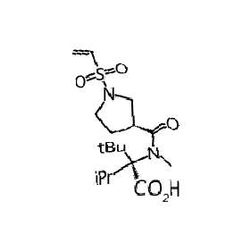 C=CS(=O)(=O)N1CC[C@H](C(=O)N(C)[C@](C(=O)O)(C(C)C)C(C)(C)C)C1